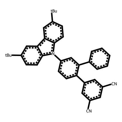 CC(C)(C)c1ccc2c(c1)c1cc(C(C)(C)C)ccc1n2-c1ccc(-c2cc(C#N)cc(C#N)c2)c(-c2ccccc2)c1